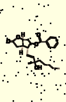 CCCCC[C@](C)(O)/C=C/[C@@H]1[C@H]2CC(=O)O[C@H]2C[C@H]1OC(=O)c1ccccc1